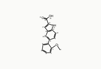 COc1ccccc1-c1ccc2[nH]c(C(=O)O)cc2n1